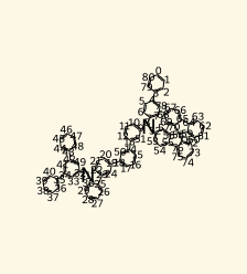 c1ccc(-c2ccc(N(c3cccc(-c4cccc(-c5ccc6c(c5)c5ccccc5n6-c5cc(-c6ccccc6)cc(-c6ccccc6)c5)c4)c3)c3ccc4c(c3)C3(c5ccccc5-c5ccccc53)c3ccccc3-4)cc2)cc1